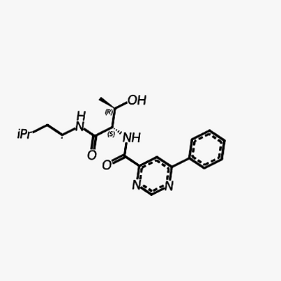 CC(C)C[CH]NC(=O)[C@@H](NC(=O)c1cc(-c2ccccc2)ncn1)[C@@H](C)O